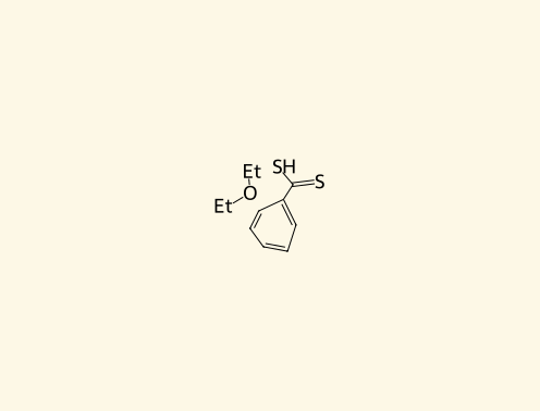 CCOCC.S=C(S)c1ccccc1